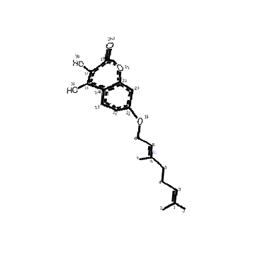 CC(C)=CCC/C(C)=C/COc1ccc2c(O)c(O)c(=O)oc2c1